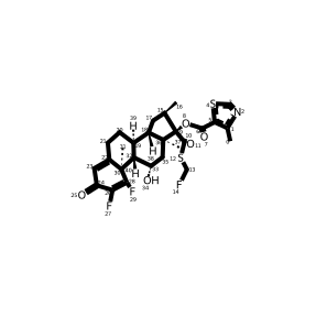 Cc1ncsc1C(=O)O[C@]1(C(=O)SCF)[C@H](C)C[C@H]2[C@@H]3CCC4=CC(=O)C(F)=C(F)[C@]4(C)[C@H]3[C@@H](O)C[C@@]21C